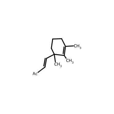 CC(=O)/C=C/C1(C)CCCC(C)=C1C